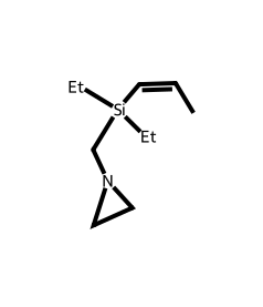 C/C=C\[Si](CC)(CC)CN1CC1